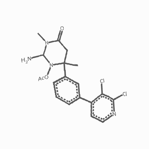 CC(=O)ON1C(N)N(C)C(=O)CC1(C)c1cccc(-c2ccnc(Cl)c2Cl)c1